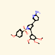 COc1ccc(S(=O)(=O)n2cc(-c3ccc(N)nc3)cc2-c2cc(OC)c(OC)c(OC)c2)cc1